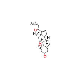 CC(=O)OCC(=O)C1=CC[C@H]2[C@@H]3CCC4=CC(=O)C=C[C@]4(C)[C@@]34O[C@H]4C[C@]12C